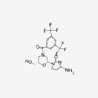 Nc1ccn(C2CN(C(=O)c3cc(C(F)(F)F)cc(C(F)(F)F)c3)C[C@@H](CO)O2)c(=O)n1